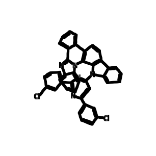 Clc1cccc(-c2cc(-n3c4ccccc4c4ccc5c6ccccc6c6nc7ccccc7n6c5c43)nc(-c3cccc(Cl)c3)n2)c1